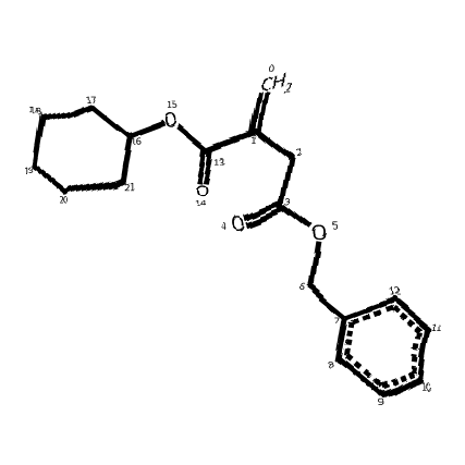 C=C(CC(=O)OCc1ccccc1)C(=O)OC1CCCCC1